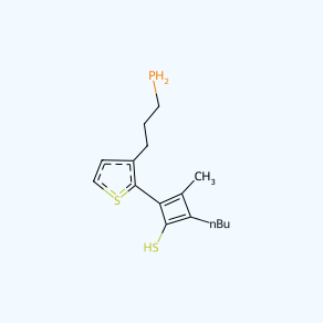 CCCCC1=C(S)C(c2sccc2CCCP)=C1C